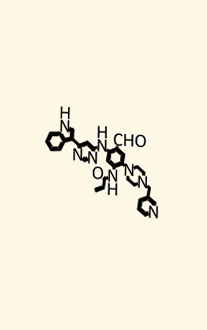 C=CC(=O)Nc1cc(Nc2cc(-c3c[nH]c4ccccc34)ncn2)c(C=O)cc1N1CCN(Cc2cccnc2)CC1